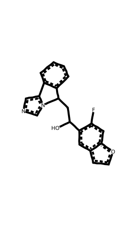 OC(CC1c2ccccc2-c2cncn21)c1cc2ccoc2cc1F